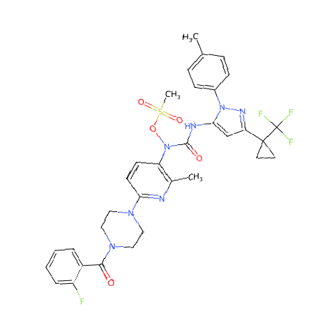 Cc1ccc(-n2nc(C3(C(F)(F)F)CC3)cc2NC(=O)N(OS(C)(=O)=O)c2ccc(N3CCN(C(=O)c4ccccc4F)CC3)nc2C)cc1